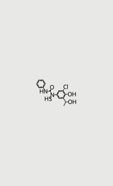 CC(O)c1cc(N(S)C(=O)Nc2ccccc2)cc(Cl)c1O